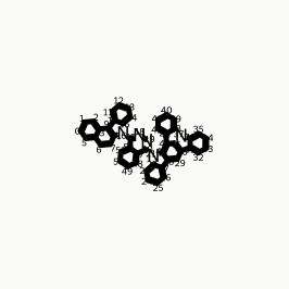 c1ccc2c(c1)ccc1c2c2ccccc2n1-c1nnc(-n2c3ccccc3c3cc4c5ccccc5n5c6ccccc6c(c32)c45)c2ccccc12